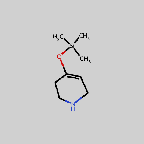 C[Si](C)(C)OC1=CCNCC1